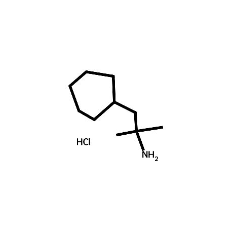 CC(C)(N)CC1CCCCC1.Cl